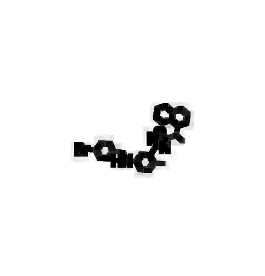 Cc1ccc(NCc2ccc(Br)cc2)cc1-c1noc(C(C)c2cccc3ccccc23)n1